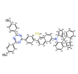 CC(C)(C)c1ccc(-c2nc(-c3ccc(-c4ccc5cc(N6c7ccccc7C7(c8ccccc8-c8ccccc87)c7ccccc76)ccc5c4S)cc3)nc(-c3ccc(C(C)(C)C)cc3)n2)cc1